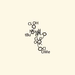 COc1ccc(Cn2c(C)cc(OCc3ccccc3CNC(=O)Nc3cc(C(C)(C)C)nn3-c3ccc(O)c(Cl)c3)c(Cl)c2=O)cc1Cl